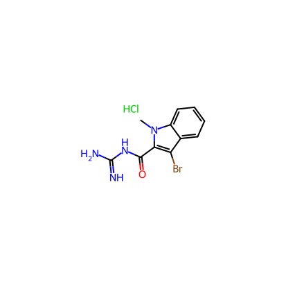 Cl.Cn1c(C(=O)NC(=N)N)c(Br)c2ccccc21